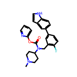 CN1CCC(N(Cc2cc(-c3ccc4[nH]ccc4c3)ccc2F)C(=O)Oc2ccccn2)CC1